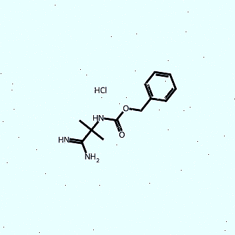 CC(C)(NC(=O)OCc1ccccc1)C(=N)N.Cl